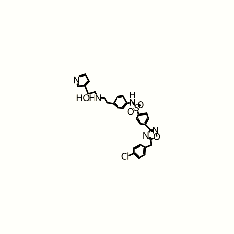 O=S(=O)(Nc1ccc(CCNCC(O)c2cccnc2)cc1)c1ccc(-c2noc(Cc3ccc(Cl)cc3)n2)cc1